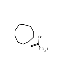 C1CCCCCCCCC1.C=C(C(=O)O)C(C)C